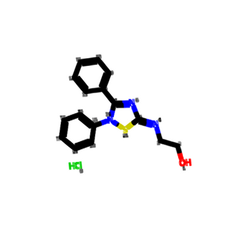 Cl.OCCN=c1nc(-c2ccccc2)n(-c2ccccc2)s1